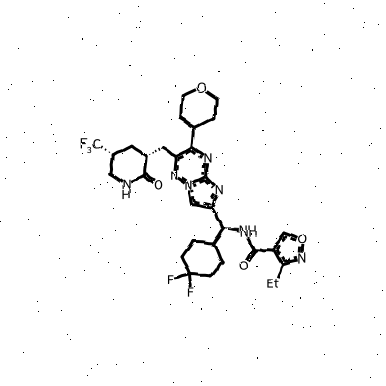 CCc1nocc1C(=O)N[C@H](c1cn2nc(C[C@H]3C[C@@H](C(F)(F)F)CNC3=O)c(C3CCOCC3)nc2n1)C1CCC(F)(F)CC1